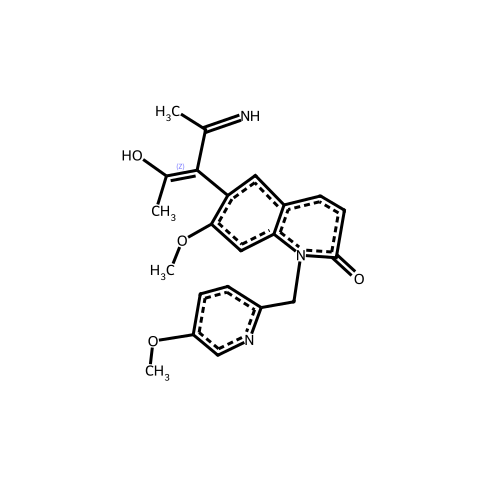 COc1ccc(Cn2c(=O)ccc3cc(/C(C(C)=N)=C(\C)O)c(OC)cc32)nc1